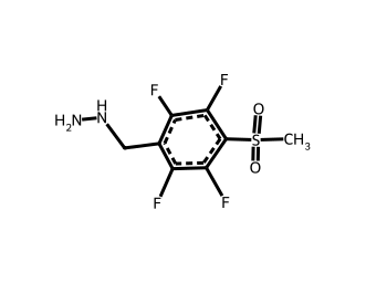 CS(=O)(=O)c1c(F)c(F)c(CNN)c(F)c1F